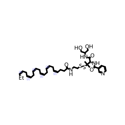 CC/C=C\C/C=C\C/C=C\C/C=C\C/C=C\C/C=C\CCC(=O)NCCSSC(C)(C)[C@H](NC(=O)c1cccnc1)C(=O)NC(CO)CO